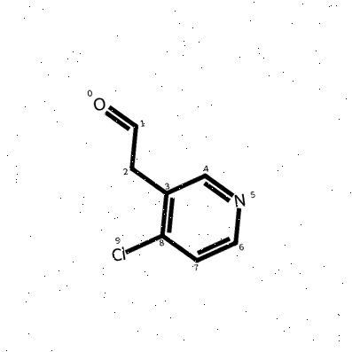 O=CCc1cnccc1Cl